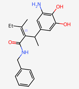 CC/C(C)=C(\C(=O)NCc1ccccc1)C(C)c1cc(N)c(O)c(O)c1